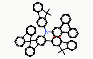 CC1(C)c2ccccc2-c2ccc(-c3cc4c(cc3N(c3ccc5c(c3)C(C)(C)c3ccccc3-5)c3ccc5c6ccccc6c6ccccc6c5c3)C3(c5ccccc5-c5ccccc53)c3ccccc3-4)cc21